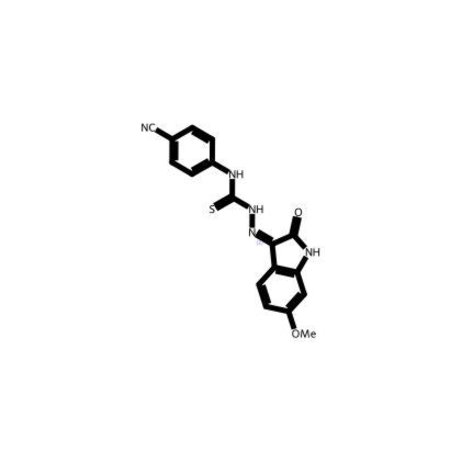 COc1ccc2c(c1)NC(=O)/C2=N\NC(=S)Nc1ccc(C#N)cc1